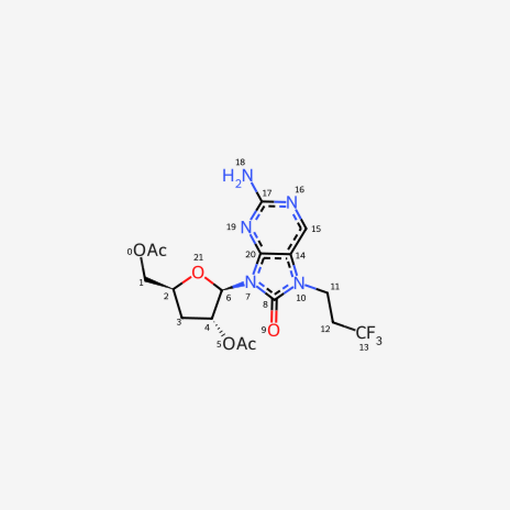 CC(=O)OC[C@@H]1C[C@@H](OC(C)=O)[C@H](n2c(=O)n(CCC(F)(F)F)c3cnc(N)nc32)O1